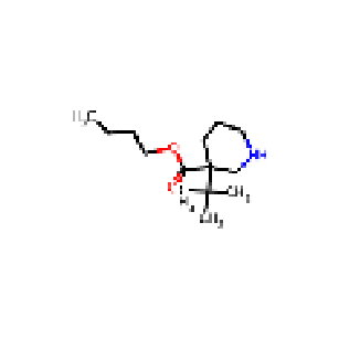 CCCCOC(=O)C1(C(C)(C)C)CCCNC1